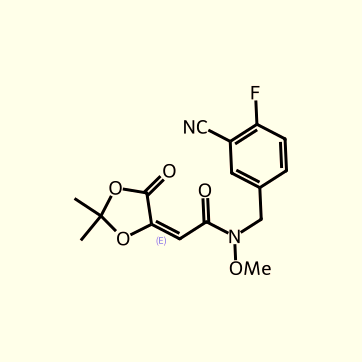 CON(Cc1ccc(F)c(C#N)c1)C(=O)/C=C1/OC(C)(C)OC1=O